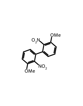 COc1cccc(-c2cccc(OC)c2[N+](=O)[O-])c1[N+](=O)[O-]